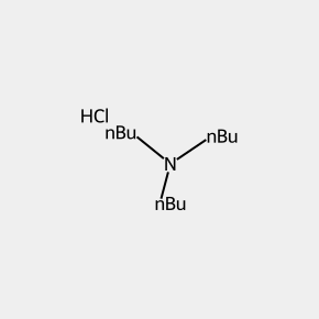 CCCCN(CCCC)CCCC.Cl